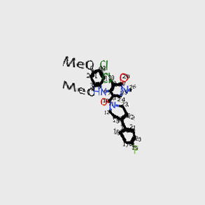 COc1cc(OC)c(Nc2c(C(=O)N3CCC(c4ccc(F)cc4)CC3)cn(C)c(=O)c2Cl)cc1Cl